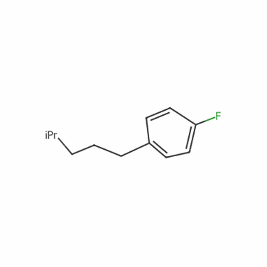 CC(C)CCCc1ccc(F)cc1